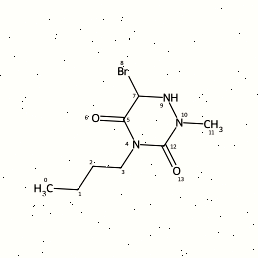 CCCCN1C(=O)C(Br)NN(C)C1=O